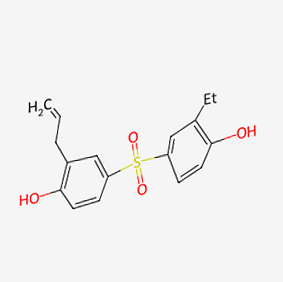 C=CCc1cc(S(=O)(=O)c2ccc(O)c(CC)c2)ccc1O